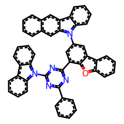 c1ccc(-c2nc(-c3cc(-n4c5ccccc5c5cc6ccccc6cc54)cc4c3oc3ccccc34)nc(-n3c4ccccc4c4ccccc43)n2)cc1